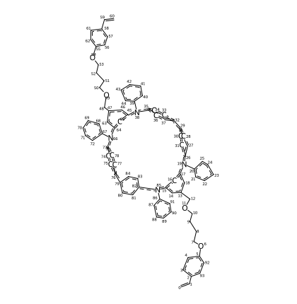 C=Cc1ccc(OCCCCOCc2cc3cc(c2)n(-c2ccccc2)c2ccc(cc2)c2ccc(cc2)n(-c2ccccc2)c2cc(COCCCCOc4ccc(C=C)cc4)cc(c2)n(-c2ccccc2)c2ccc(cc2)c2ccc(cc2)n3-c2ccccc2)cc1